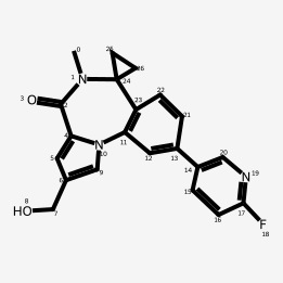 CN1C(=O)c2cc(CO)cn2-c2cc(-c3ccc(F)nc3)ccc2C12CC2